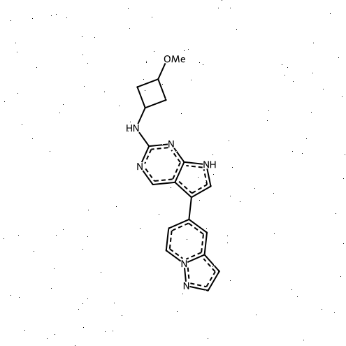 COC1CC(Nc2ncc3c(-c4ccn5nccc5c4)c[nH]c3n2)C1